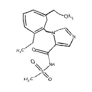 CCc1cccc(CC)c1-n1cncc1C(=O)NS(C)(=O)=O